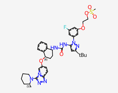 C[C@H]1CCCCN1c1nnc2ccc(O[C@@H]3CCC(NC(=O)Nc4cc(C(C)(C)C)nn4-c4cc(F)cc(OCCOS(C)(=O)=O)c4)c4ccccc43)cn12